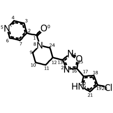 O=C(c1ccncc1)N1CCCC(c2noc(-c3cc(Cl)c[nH]3)n2)C1